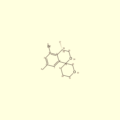 Cc1cc(Br)c2c(c1)C1(CCCOC1)OC[C@H]2C